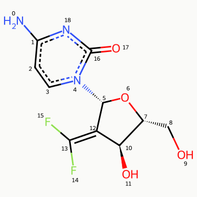 Nc1ccn([C@@H]2O[C@H](CO)[C@@H](O)C2=C(F)F)c(=O)n1